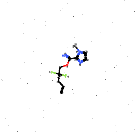 C=CCC(F)(F)COC(=N)c1nccn1C(C)C